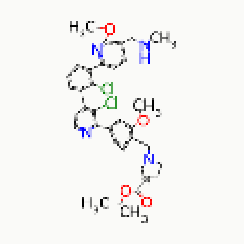 CNCc1ccc(-c2cccc(-c3ccnc(-c4ccc(CN5CC[C@H](C(=O)OC(C)C)C5)c(OC)c4)c3Cl)c2Cl)nc1OC